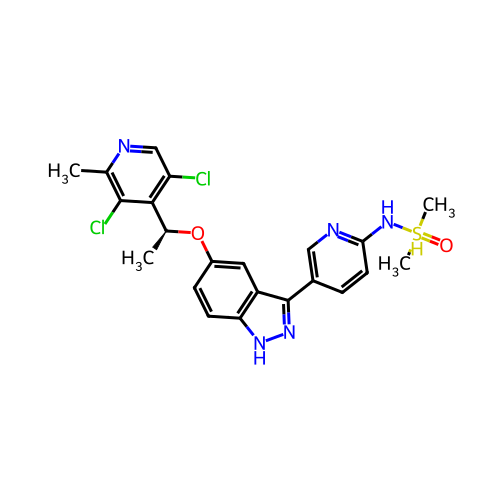 Cc1ncc(Cl)c([C@H](C)Oc2ccc3[nH]nc(-c4ccc(N[SH](C)(C)=O)nc4)c3c2)c1Cl